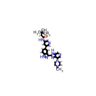 CN1CCN(c2cncc3[nH]c(-c4n[nH]c5ccc(-c6cncc(NC(=O)CC(C)(C)C)c6)cc45)nc23)CC1